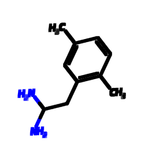 Cc1ccc(C)c(CC(N)N)c1